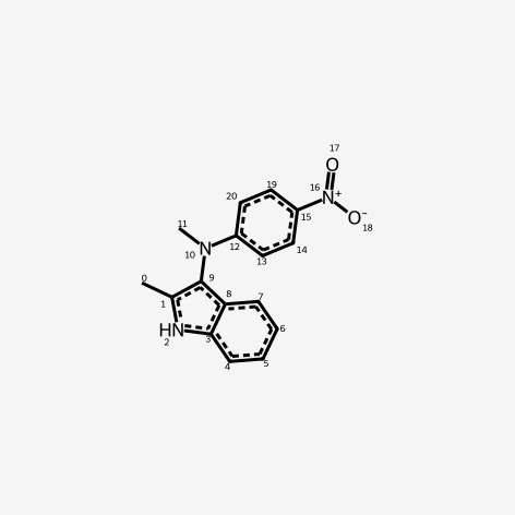 Cc1[nH]c2ccccc2c1N(C)c1ccc([N+](=O)[O-])cc1